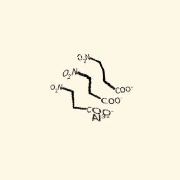 O=C([O-])CC[N+](=O)[O-].O=C([O-])CC[N+](=O)[O-].O=C([O-])CC[N+](=O)[O-].[Al+3]